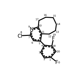 Fc1ccc(-c2cc(Cl)nc3c2CCCCCC3)c(F)c1